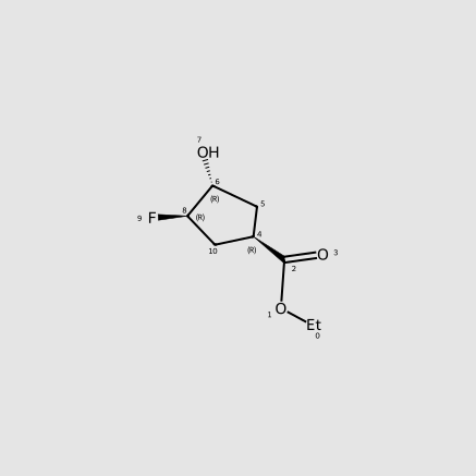 CCOC(=O)[C@@H]1C[C@@H](O)[C@H](F)C1